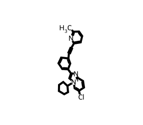 Cc1cccc(C#Cc2cccc(C3=C[N+]4(C5CCCCC5)C=C(Cl)C=CC4=N3)c2)n1